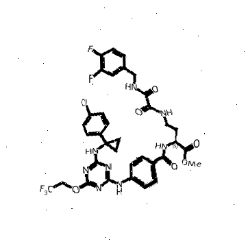 COC(=O)[C@H](CCNC(=O)C(=O)NCc1ccc(F)c(F)c1)NC(=O)c1ccc(Nc2nc(NC3(c4ccc(Cl)cc4)CC3)nc(OCC(F)(F)F)n2)cc1